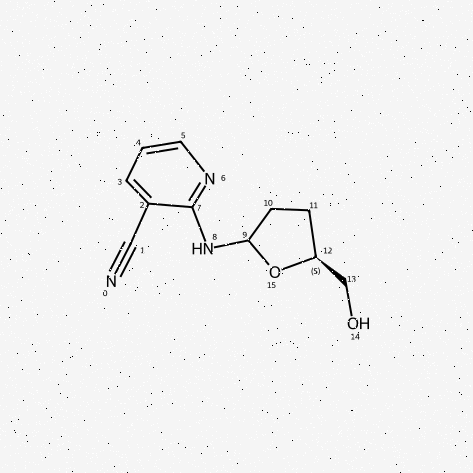 N#Cc1cccnc1NC1CC[C@@H](CO)O1